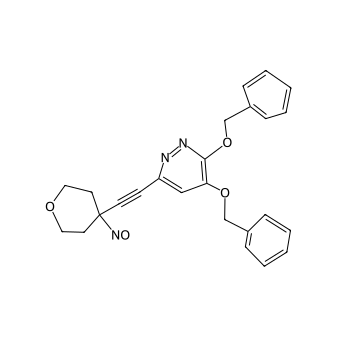 O=NC1(C#Cc2cc(OCc3ccccc3)c(OCc3ccccc3)nn2)CCOCC1